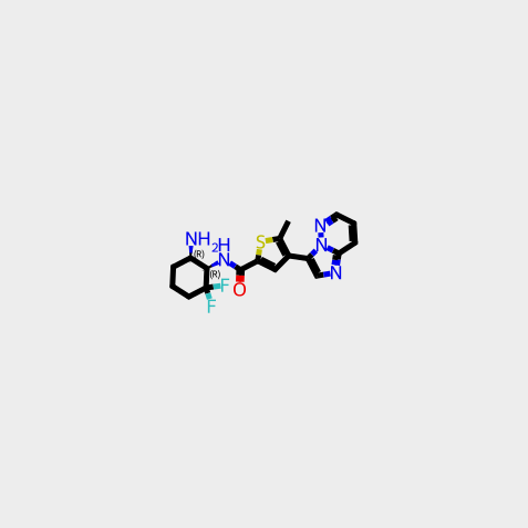 Cc1sc(C(=O)N[C@@H]2[C@H](N)CCCC2(F)F)cc1-c1cnc2cccnn12